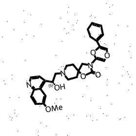 COc1ccc2nccc([C@H](O)CN3CCC4(CC3)CN(C3=COC=C(C5=CC=CCC5)O3)C(=O)O4)c2c1